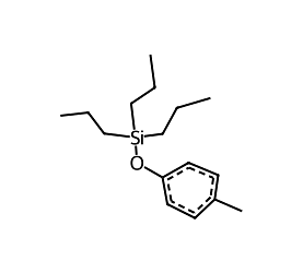 CCC[Si](CCC)(CCC)Oc1ccc(C)cc1